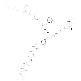 CNC(C)O.CNC(C)O.CNC(C)O.CNC(C)O.CNC(C)O.CNC(C)O.CNC(C)O.CNC(C)O.O=C(O)CC(O)(CC(=O)OC(=O)/C=C/C(=O)OC(=O)C(OC(=O)C(=O)OC(C(=O)OC(=O)/C=C/C(=O)OC(=O)CC(O)(CC(=O)O)C(=O)O)c1ccccc1)c1ccccc1)C(=O)O